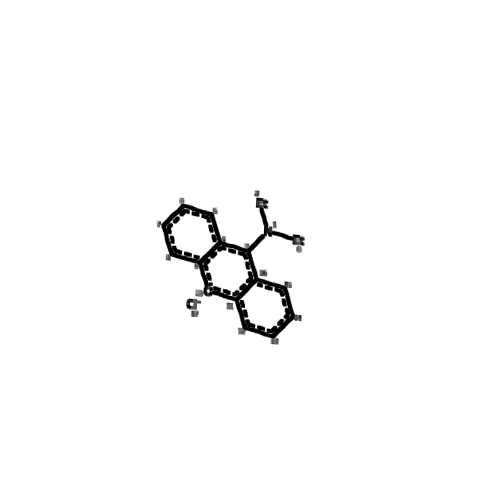 CCN(CC)c1c2ccccc2[o+]c2ccccc12.[Cl-]